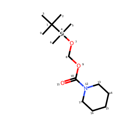 CC(C)(C)[Si](C)(C)OCOC(=O)N1CCCCC1